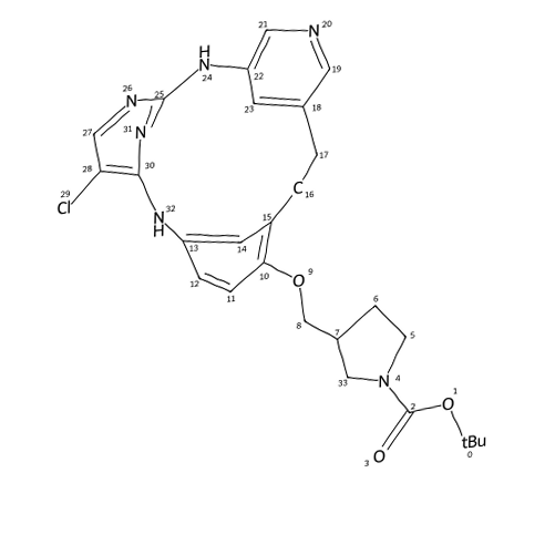 CC(C)(C)OC(=O)N1CCC(COc2ccc3cc2CCc2cncc(c2)Nc2ncc(Cl)c(n2)N3)C1